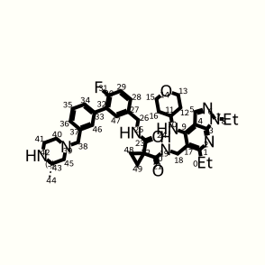 CCc1nc2c(cnn2CC)c(NC2CCOCC2)c1CNC(=O)C1(C(=O)NCc2ccc(F)c(-c3cccc(CN4CCN[C@@H](C)C4)c3)c2)CC1